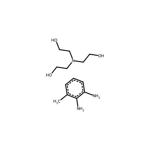 Cc1cccc(N)c1N.OCCN(CCO)CCO